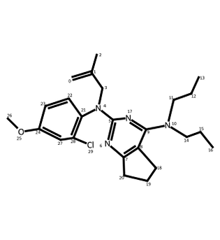 C=C(C)CN(c1nc2c(c(N(CCC)CCC)n1)CCC2)c1ccc(OC)cc1Cl